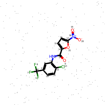 O=C(Nc1cc(C(F)(F)F)ccc1Cl)c1ccc([N+](=O)[O-])o1